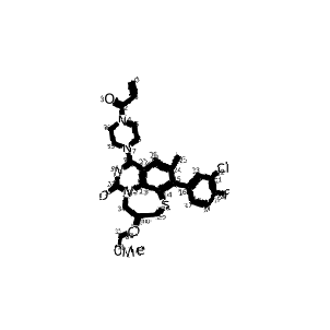 C=CC(=O)N1CCN(c2nc(=O)n3c4c(c(-c5ccc(F)c(Cl)c5)c(C)cc24)SCC(OCOC)C3)CC1